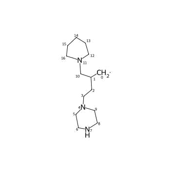 [CH2]C(CCN1CCNCC1)CN1CCCCC1